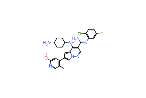 COc1cc(-c2cc3c(N[C@H]4CC[C@H](N)CC4)c(/C(N)=N/c4cc(F)ccc4Cl)cnn3c2)c(C)cn1